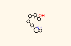 Cc1c(-c2cccc(-c3cccc(-c4ccc(-c5ccccc6ccccc6[nH]c5)cc4)c3)c2)cccc1-c1ccc#cc1O